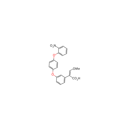 COC=C(C(=O)O)c1cccc(Oc2ccc(Oc3ccccc3[N+](=O)[O-])cc2)c1